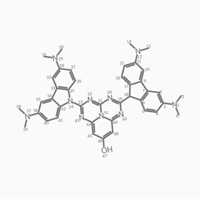 CN(C)c1ccc2c(c1)-c1cc(N(C)C)ccc1C2C1=NC2=NC(n3c4ccc(N(C)C)cc4c4cc(N(C)C)ccc43)=NC3=CC(O)=CC(=N1)N32